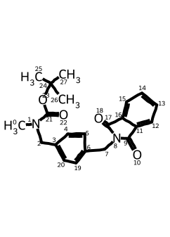 CN(Cc1ccc(CN2C(=O)c3ccccc3C2=O)cc1)C(=O)OC(C)(C)C